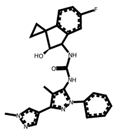 Cc1c(-c2cnn(C)c2)nn(-c2ccccc2)c1NC(=O)NC1c2cc(F)ccc2C2(CC2)[C@@H]1O